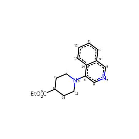 CCOC(=O)C1CCN(c2cncc3ccccc23)CC1